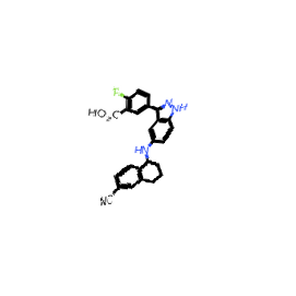 N#Cc1ccc2c(c1)CCCC2Nc1ccc2[nH]nc(-c3ccc(F)c(C(=O)O)c3)c2c1